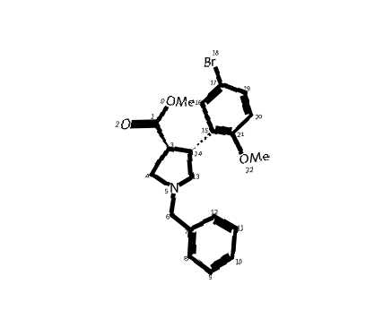 COC(=O)[C@@H]1CN(Cc2ccccc2)C[C@H]1c1cc(Br)ccc1OC